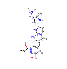 C=CC(=O)Nc1cc(Nc2nccc(-n3cc(CN(C)C)c(C(C)C)n3)n2)c(OC)cc1N(C)C1COC1